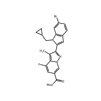 COC(=O)c1cc(F)c2c(C)c(-c3cc4ccc(Br)cc4n3CC3CC3)nn2c1